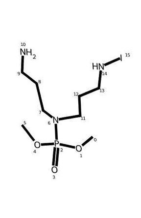 COP(=O)(OC)N(CCCN)CCCNI